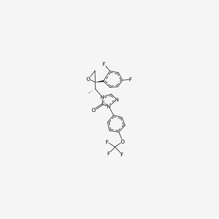 C[C@@H](n1cnn(-c2ccc(OC(F)(F)F)cc2)c1=O)[C@@]1(c2ccc(F)cc2F)CO1